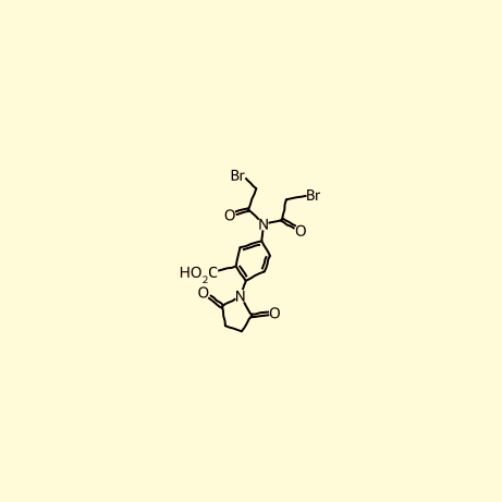 O=C(O)c1cc(N(C(=O)CBr)C(=O)CBr)ccc1N1C(=O)CCC1=O